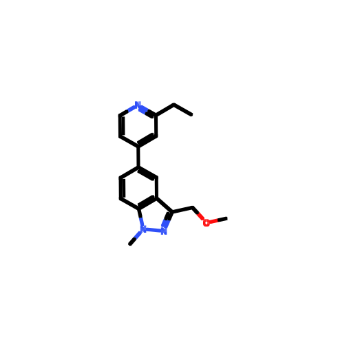 CCc1cc(-c2ccc3c(c2)c(COC)nn3C)ccn1